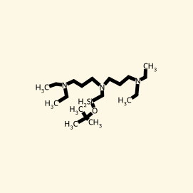 CCN(CC)CCCN(CCCN(CC)CC)C[SiH2]OC(C)(C)C